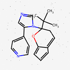 CC(C)(C)C1(n2cncc2-c2ccncc2)CC=C2C=CC=C2O1